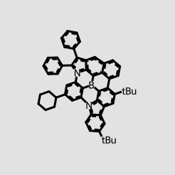 CC(C)(C)c1ccc2c(c1)c1cc(C(C)(C)C)c3c4c1n2-c1cc(C2CCCCC2)cc2c1B4c1c4c-3cccc4cc3c(-c4ccccc4)c(-c4ccccc4)n-2c13